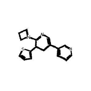 C1=C(c2cccnc2)CC(c2cccs2)C(N2CCC2)=N1